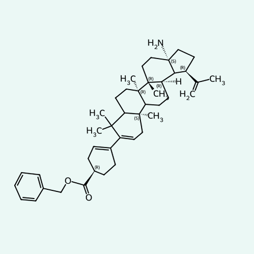 C=C(C)[C@@H]1CC[C@]2(N)CC[C@]3(C)[C@H](CCC4[C@@]5(C)CC=C(C6=CC[C@H](C(=O)OCc7ccccc7)CC6)C(C)(C)C5CC[C@]43C)C12